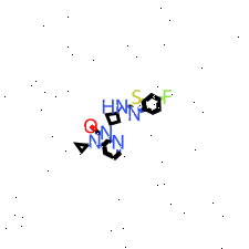 O=c1n(C2CC2)c2cccnc2n1[C@H]1C[C@H](Nc2nc3ccc(F)cc3s2)C1